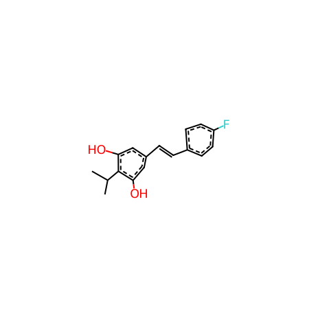 CC(C)c1c(O)cc(/C=C/c2ccc(F)cc2)cc1O